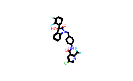 O=C(NC1CCC(CN2C(=O)C(O)(c3cccc(F)c3F)c3ccccc32)CC1)c1cc(Cl)cnc1C(F)F